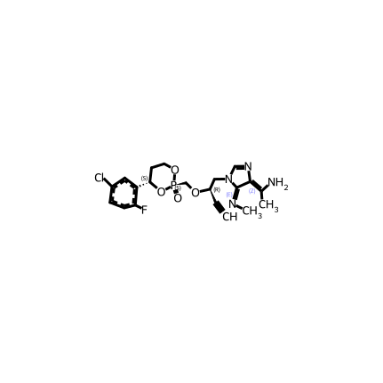 C#C[C@H](CN1C=NC(=C(/C)N)/C1=N\C)OC[P@]1(=O)OCC[C@@H](c2cc(Cl)ccc2F)O1